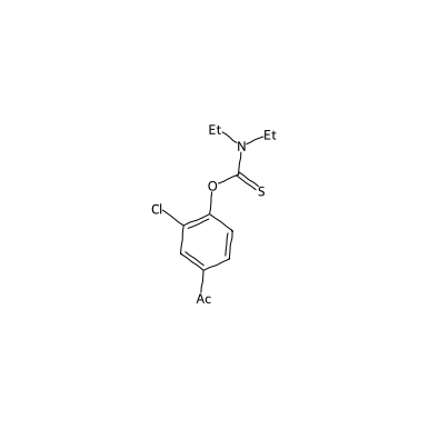 CCN(CC)C(=S)Oc1ccc(C(C)=O)cc1Cl